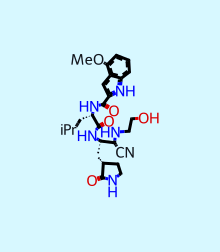 COc1cccc2[nH]c(C(=O)N[C@@H](CC(C)C)C(=O)N[C@@H](C[C@@H]3CCNC3=O)C(C#N)NCCO)cc12